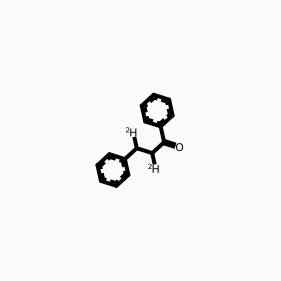 [2H]C(C(=O)c1ccccc1)C([2H])c1ccccc1